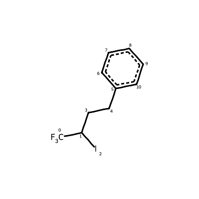 FC(F)(F)C(I)CCc1ccccc1